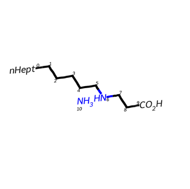 CCCCCCCCCCCCNCCC(=O)O.N